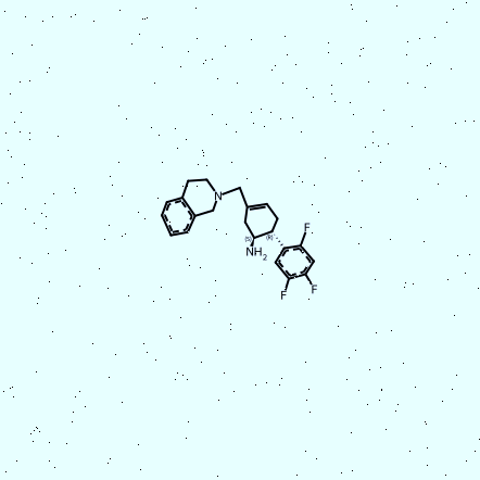 N[C@H]1CC(CN2CCc3ccccc3C2)=CC[C@@H]1c1cc(F)c(F)cc1F